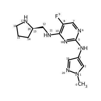 Cn1cc(Nc2ncc(F)c(NC[C@H]3CCCN3)n2)cn1